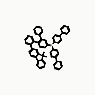 CC1(C)c2ccccc2-c2ccc(-c3ccccc3-c3ccc(N(c4ccc(-c5ccccc5)cc4)c4ccc(-c5ccccc5)cc4)cc3-c3ccccc3)cc21